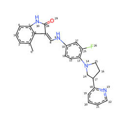 Cc1cccc2c1C(=CNc1ccc(N3CCC(c4ccccn4)C3)c(F)c1)C(=O)N2